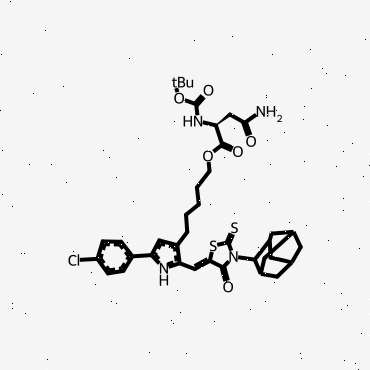 CC(C)(C)OC(=O)N[C@@H](CC(N)=O)C(=O)OCCCCCc1cc(-c2ccc(Cl)cc2)[nH]c1/C=C1\SC(=S)N(C2C3CC4CC(C3)CC2C4)C1=O